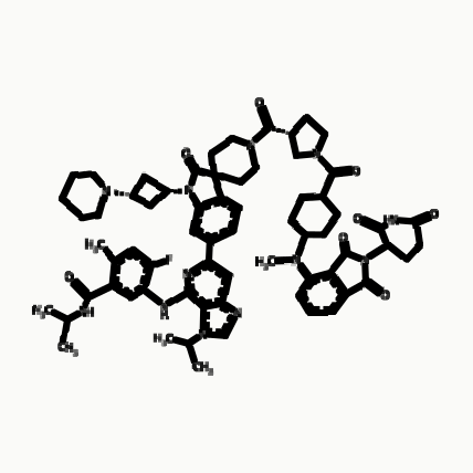 Cc1cc(F)c(Nc2nc(-c3ccc4c(c3)N([C@H]3C[C@@H](N5CCCCC5)C3)C(=O)C43CCN(C(=O)[C@@H]4CCN(C(=O)C5CCC(N(C)c6cccc7c6C(=O)N(C6CCC(=O)NC6=O)C7=O)CC5)C4)CC3)cc3ncn(C(C)C)c23)cc1C(=O)NC(C)C